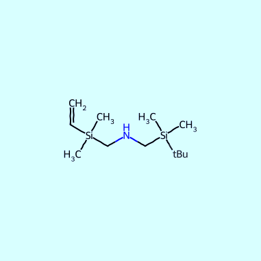 C=C[Si](C)(C)CNC[Si](C)(C)C(C)(C)C